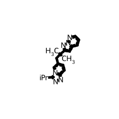 CC(C)c1nnc2ccc(CC(C)(C)c3cc4cccnn4n3)cn12